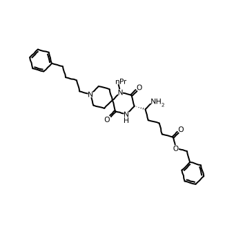 CCCN1C(=O)[C@H](C(N)CCCC(=O)OCc2ccccc2)NC(=O)C12CCN(CCCCc1ccccc1)CC2